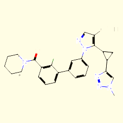 C[C@@H]1CCC[C@H](C)N1C(=O)c1cccc(-c2cccc(-n3ncc(C(=O)O)c3C3CC3c3cn(C)nn3)c2)c1F